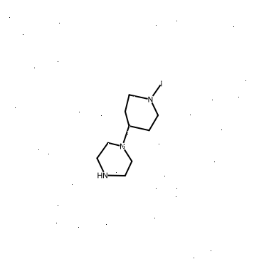 IN1CCC(N2CCNCC2)CC1